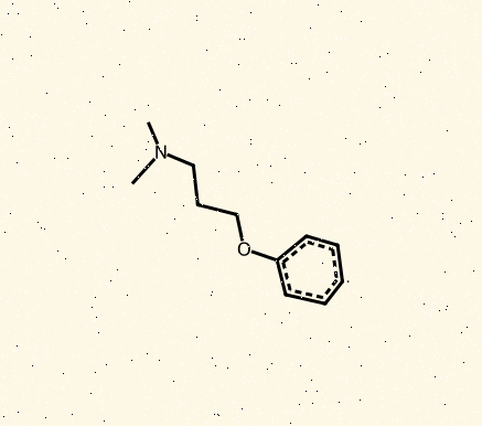 CN(C)CCCOc1cc[c]cc1